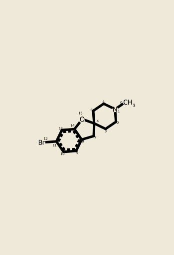 CN1CCC2(CC1)Cc1ccc(Br)cc1O2